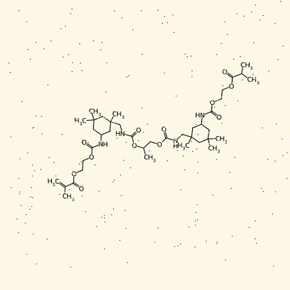 C=C(C)C(=O)OCCOC(=O)NC1CC(C)(C)CC(C)(CNC(=O)OC(C)COC(=O)NCC2(C)CC(NC(=O)OCCOC(=O)C(C)C)CC(C)(C)C2)C1